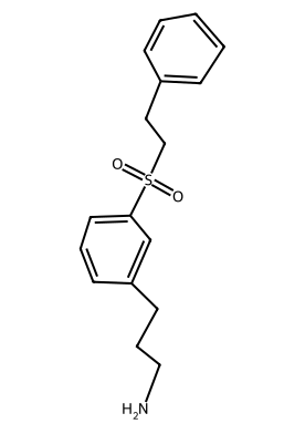 NCCCc1cccc(S(=O)(=O)CCc2ccccc2)c1